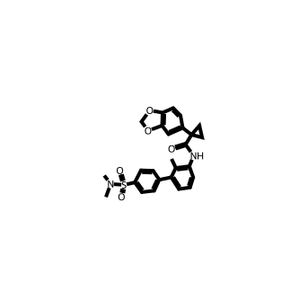 Cc1c(NC(=O)C2(c3ccc4c(c3)OCO4)CC2)cccc1-c1ccc(S(=O)(=O)N(C)C)cc1